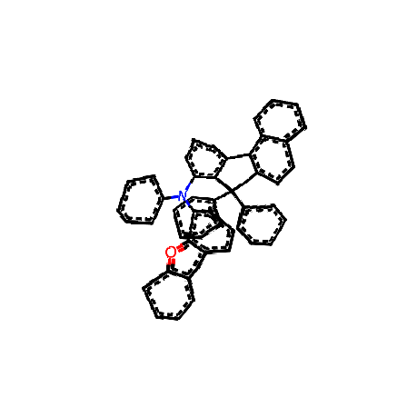 c1ccc(N(c2cccc3c2C(c2ccccc2)(c2ccccc2)c2ccc4ccccc4c2-3)c2cccc3c2oc2ccccc23)cc1